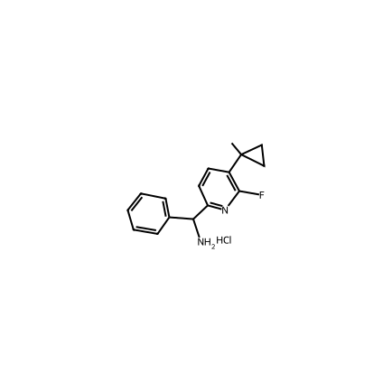 CC1(c2ccc(C(N)c3ccccc3)nc2F)CC1.Cl